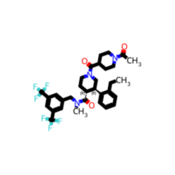 CCc1ccccc1[C@@H]1CN(C(=O)C2CCN(C(C)=O)CC2)CC[C@H]1C(=O)N(C)Cc1cc(C(F)(F)F)cc(C(F)(F)F)c1